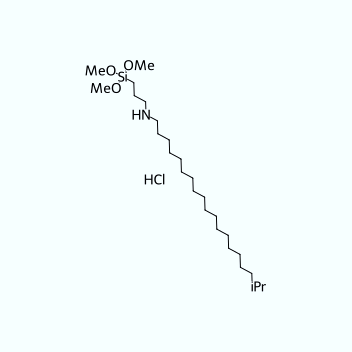 CO[Si](CCCNCCCCCCCCCCCCCCCCCC(C)C)(OC)OC.Cl